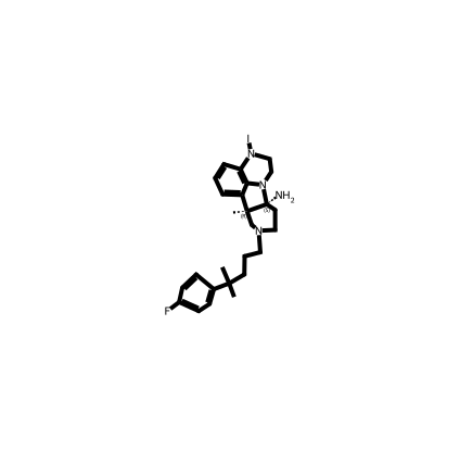 CC(C)(CCCN1CC[C@]2(N)N3CCN(I)c4cccc(c43)[C@]2(C)C1)c1ccc(F)cc1